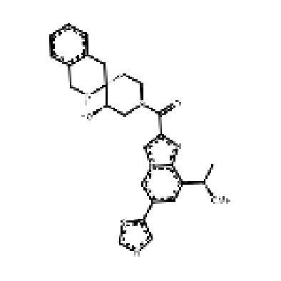 CO[C@H](C)c1cc(-c2cncs2)cn2cc(C(=O)N3CC[C@]4(Cc5ccccc5CN4)[C@H](O)C3)nc12